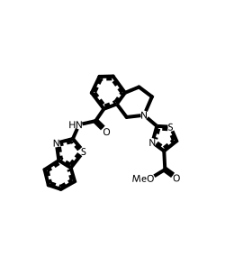 COC(=O)c1csc(N2CCc3cccc(C(=O)Nc4nc5ccccc5s4)c3C2)n1